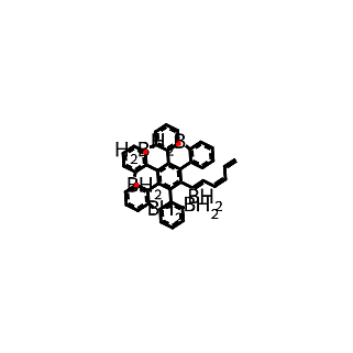 B/C(=C\C=C/C=C)c1c(-c2ccccc2B)c(-c2ccccc2B)c(-c2ccccc2B)c(-c2ccccc2B)c1-c1ccccc1B